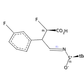 CC(C)(C)[S@@+]([O-])/N=C/C(c1cccc(F)c1)[C@@H](F)C(=O)O